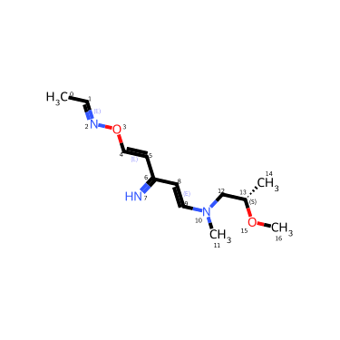 C/C=N/O/C=C/C(=N)/C=C/N(C)C[C@H](C)OC